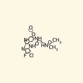 CCOC(C)NC/C=C/C(=O)Nc1cc2c(Nc3ccc(F)c(Cl)c3)c(C#N)cnc2cc1OC1CCOC1